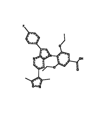 CCOc1cc(C(=O)O)cc(OCC)c1-n1cc(-c2ccc(F)cc2)c2ncc(-c3c(C)noc3C)cc21